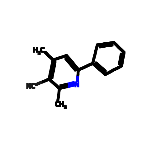 Cc1cc(-c2ccccc2)nc(C)c1C#N